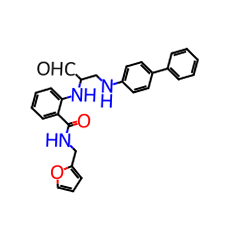 O=CC(CNc1ccc(-c2ccccc2)cc1)Nc1ccccc1C(=O)NCc1ccco1